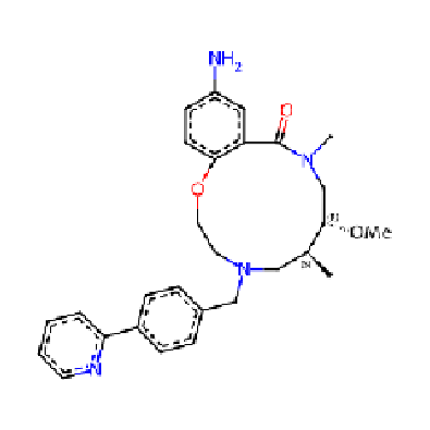 CO[C@H]1CN(C)C(=O)c2cc(N)ccc2OCCN(Cc2ccc(-c3ccccn3)cc2)C[C@@H]1C